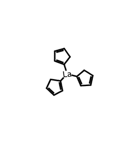 C1=CC[C]([La]([C]2=CC=CC2)[C]2=CC=CC2)=C1